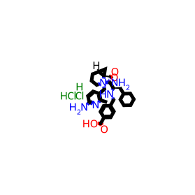 Cc1nc(N)ccc1C[N+]1(C(=O)[C@@H](CC2CCCCC2)NCc2ccc(C(=O)O)cc2)CCC[C@@H]2C[C@@]21C(N)=O.Cl.Cl